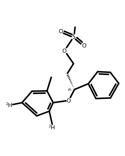 [2H]c1cc([2H])c(O[C@H](CCOS(C)(=O)=O)c2ccccc2)c(C)c1